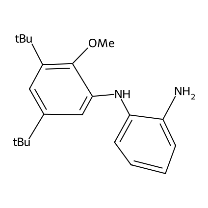 COc1c(Nc2ccccc2N)cc(C(C)(C)C)cc1C(C)(C)C